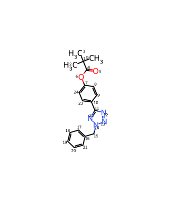 CC(C)(C)C(=O)Oc1ccc(-c2nnn(Cc3ccccc3)n2)cc1